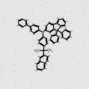 CC(C)(c1ccc(N(c2ccc(-c3ccccc3)cc2)c2ccc3c(c2)C(c2ccccc2)(c2ccccc2)c2ccccc2-3)cc1)c1ccc2ccccc2c1